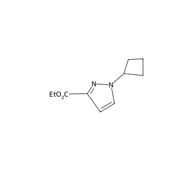 CCOC(=O)c1ccn(C2CCC2)n1